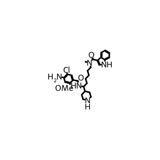 COc1cc(N)c(Cl)cc1C(=O)NC(CCCCCN(C)C(=O)c1c[nH]c2ccccc12)C1CCNCC1